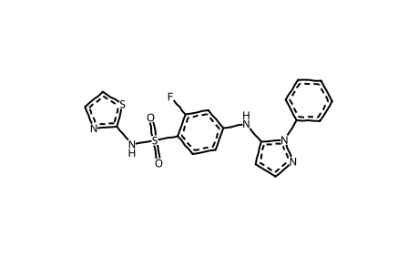 O=S(=O)(Nc1nccs1)c1ccc(Nc2ccnn2-c2ccccc2)cc1F